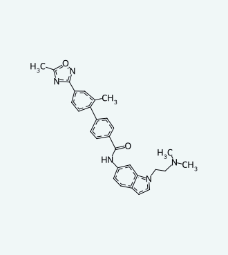 Cc1nc(-c2ccc(-c3ccc(C(=O)Nc4ccc5ccn(CCN(C)C)c5c4)cc3)c(C)c2)no1